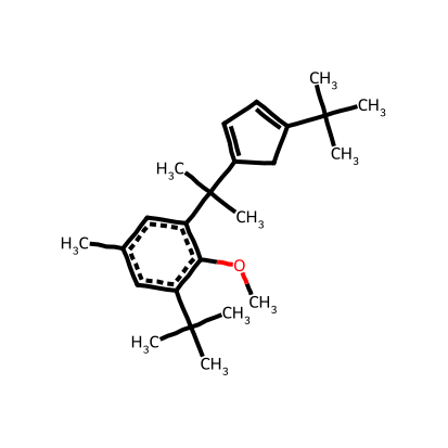 COc1c(C(C)(C)C)cc(C)cc1C(C)(C)C1=CC=C(C(C)(C)C)C1